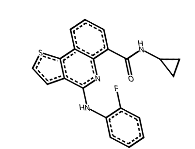 O=C(NC1CC1)c1cccc2c1nc(Nc1ccccc1F)c1ccsc12